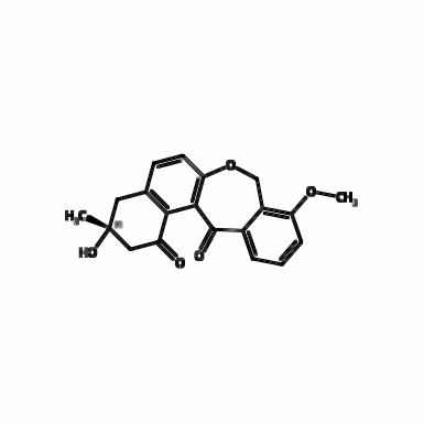 COc1cccc2c1COc1ccc3c(c1C2=O)C(=O)C[C@](C)(O)C3